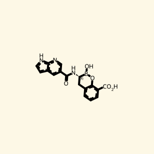 O=C(N[C@H]1Cc2cccc(C(=O)O)c2OB1O)c1cnc2[nH]ccc2c1